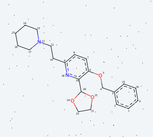 c1ccc(COc2ccc(CCN3CCCCC3)nc2C2OCCO2)cc1